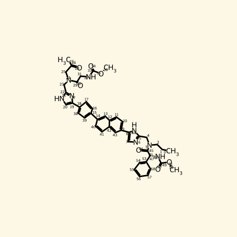 CCCN(Cc1ncc(-c2ccc3cc(-c4ccc(-c5c[nH]c(CN(CC(C)=O)C(=O)CNC(=O)OC)n5)cc4)ccc3c2)[nH]1)C(=O)[C@H](NC(=O)OC)c1ccccc1